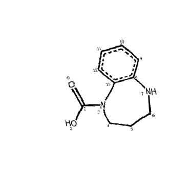 O=C(O)N1CCCNc2ccccc21